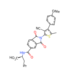 COc1ccc(-c2c(C)sc(N3C(=O)c4ccc(C(=O)N[C@@H](CC(C)C)C(=O)O)cc4C3=O)c2C#N)cc1